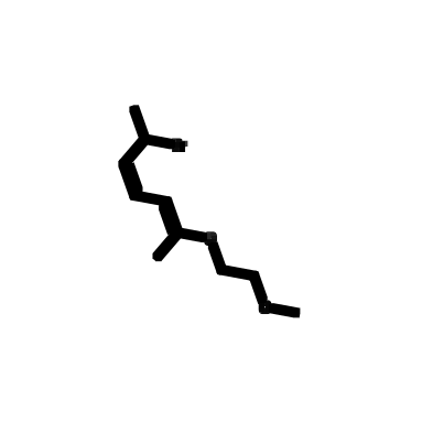 COCCO/C(C)=C/C=C\C(C)Br